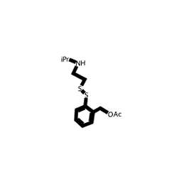 CC(=O)OCc1ccccc1SSCCNC(C)C